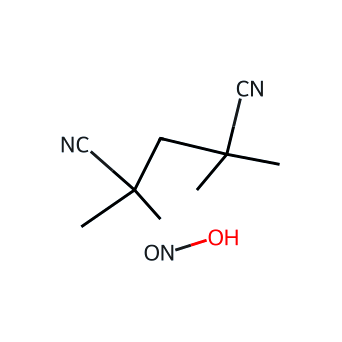 CC(C)(C#N)CC(C)(C)C#N.O=NO